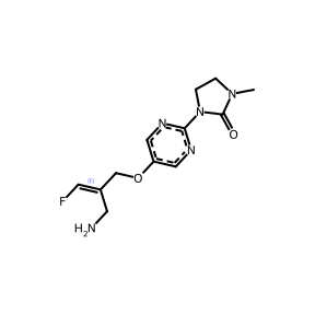 CN1CCN(c2ncc(OC/C(=C/F)CN)cn2)C1=O